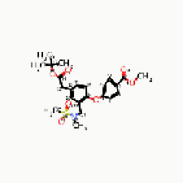 COC(=O)c1ccc(Oc2ccc(CC(=O)OC(C)(C)C)cc2CN(C)S(C)(=O)=O)cc1